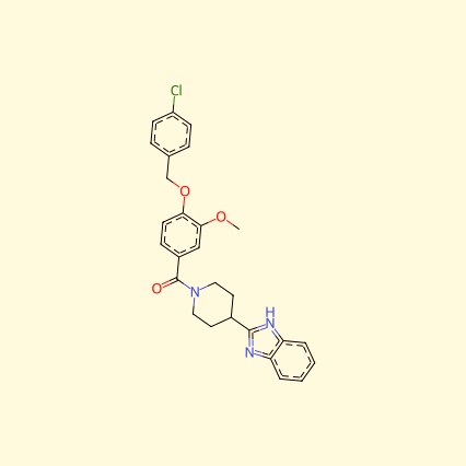 COc1cc(C(=O)N2CCC(c3nc4ccccc4[nH]3)CC2)ccc1OCc1ccc(Cl)cc1